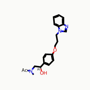 CC(=O)N(C)C[C@H](O)c1ccc(OCCCn2cnc3ccccc32)cc1